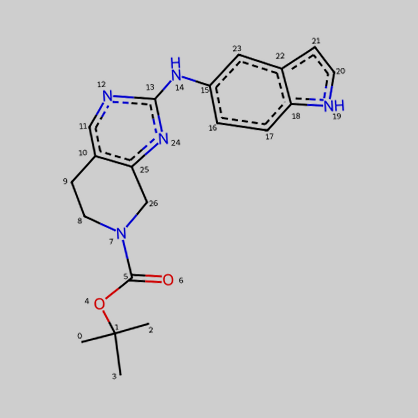 CC(C)(C)OC(=O)N1CCc2cnc(Nc3ccc4[nH]ccc4c3)nc2C1